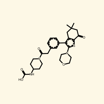 CC1(C)CC(=O)c2sc(N3CCOCC3)c(-c3cccc(CC(=O)N4CCC(NC(=O)O)CC4)c3)c2C1